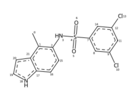 Cc1c(NS(=O)(=O)c2cc(Cl)cc(Cl)c2)ccc2[nH]ccc12